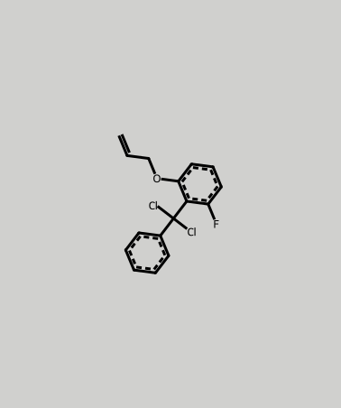 C=CCOc1cccc(F)c1C(Cl)(Cl)c1ccccc1